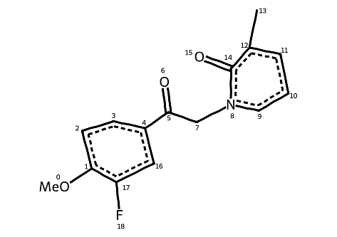 COc1ccc(C(=O)Cn2cccc(C)c2=O)cc1F